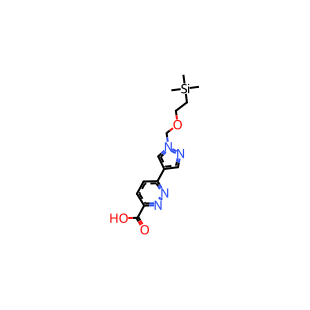 C[Si](C)(C)CCOCn1cc(-c2ccc(C(=O)O)nn2)cn1